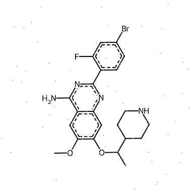 COc1cc2c(N)nc(-c3ccc(Br)cc3F)nc2cc1OC(C)C1CCNCC1